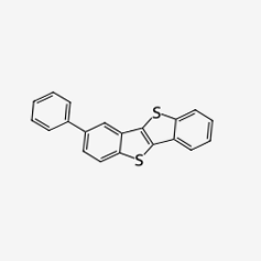 c1ccc(-c2ccc3sc4c5ccccc5sc4c3c2)cc1